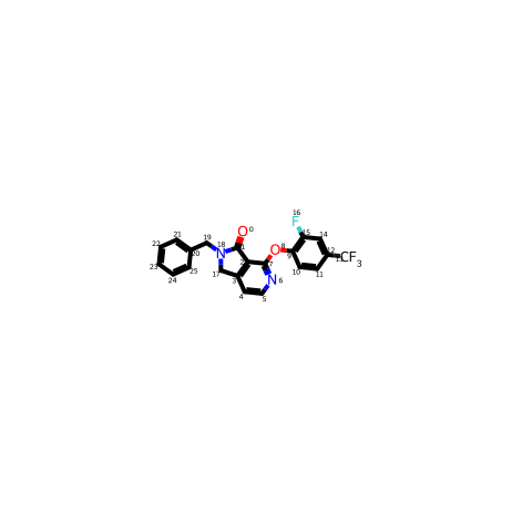 O=C1c2c(ccnc2Oc2ccc(C(F)(F)F)cc2F)CN1Cc1ccccc1